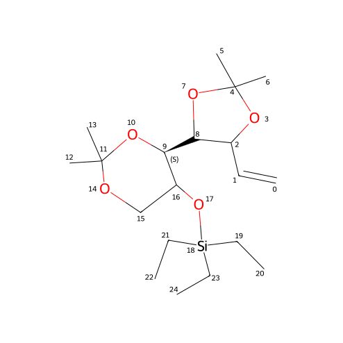 C=CC1OC(C)(C)OC1[C@@H]1OC(C)(C)OCC1O[Si](CC)(CC)CC